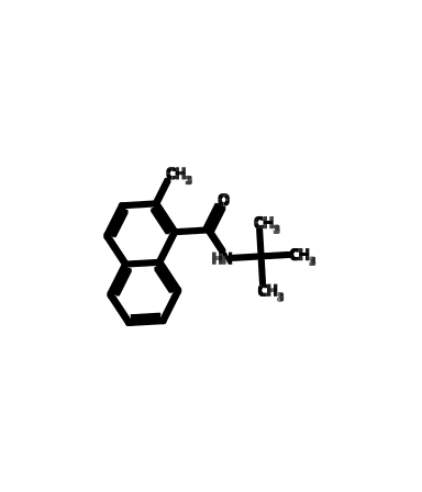 Cc1ccc2ccccc2c1C(=O)NC(C)(C)C